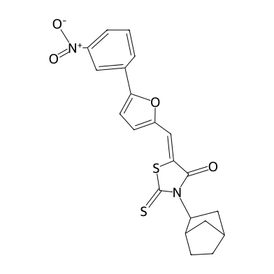 O=C1C(=Cc2ccc(-c3cccc([N+](=O)[O-])c3)o2)SC(=S)N1C1CC2CCC1C2